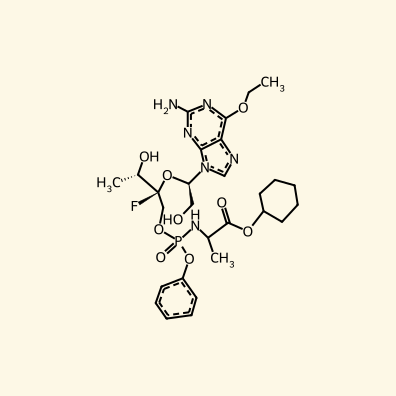 CCOc1nc(N)nc2c1ncn2[C@@H](CO)O[C@](F)(COP(=O)(NC(C)C(=O)OC1CCCCC1)Oc1ccccc1)[C@H](C)O